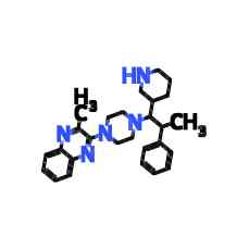 Cc1nc2ccccc2nc1N1CCN(C(C2CCCNC2)C(C)c2ccccc2)CC1